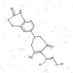 CCON=C(CC)C1=C(O)CC(c2ccc3c(c2)OCC(=O)N3)CC1=O